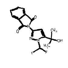 CC(C)(O)c1cc(N2C(=O)c3ccccc3C2=O)nn1C(F)F